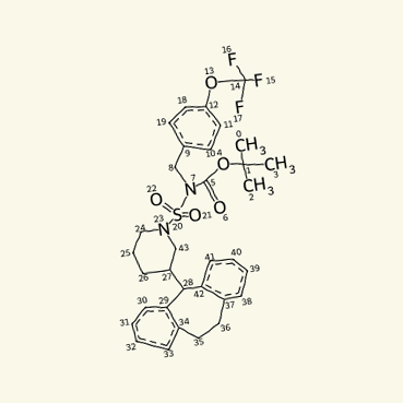 CC(C)(C)OC(=O)N(Cc1ccc(OC(F)(F)F)cc1)S(=O)(=O)N1CCCC(C2c3ccccc3CCc3ccccc32)C1